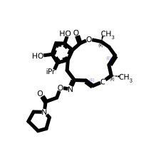 CC(C)c1c(O)cc(O)c2c1CC(=NOCC(=O)N1CCCCC1)/C=C/C[C@@H](C)/C=C/C[C@@H](C)OC2=O